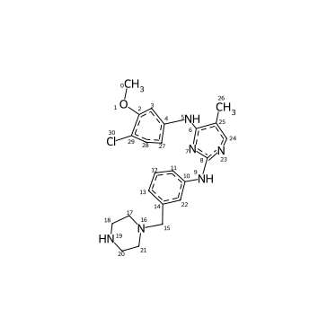 COc1cc(Nc2nc(Nc3cccc(CN4CCNCC4)c3)ncc2C)ccc1Cl